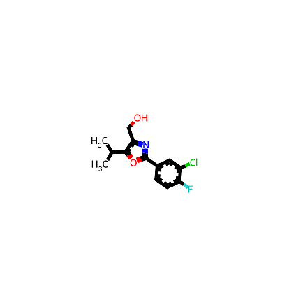 CC(C)c1oc(-c2ccc(F)c(Cl)c2)nc1CO